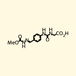 COC(=O)NN=Cc1ccc(NC(=O)NCC(=O)O)cc1